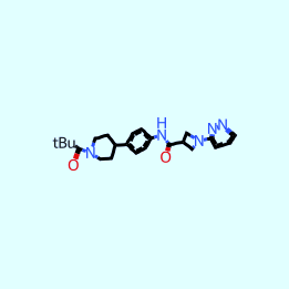 CC(C)(C)C(=O)N1CCC(c2ccc(NC(=O)C3CN(c4cccnn4)C3)cc2)CC1